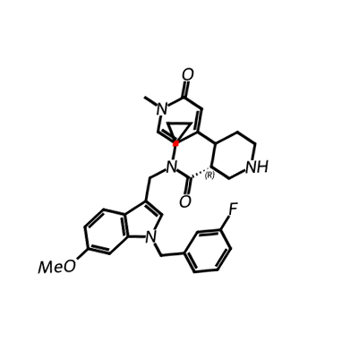 COc1ccc2c(CN(C(=O)[C@H]3CNCCC3c3ccn(C)c(=O)c3)C3CC3)cn(Cc3cccc(F)c3)c2c1